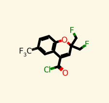 O=C(Cl)C1=CC(CF)(CF)Oc2ccc(C(F)(F)F)cc21